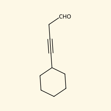 O=CCC#CC1CCCCC1